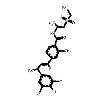 Cc1cc(/C(F)=C/C(c2cc(Cl)c(Cl)c(Cl)c2)C(F)(F)F)ccc1C(=O)NC(C)CS(=O)(=O)CC(F)(F)F